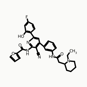 CCN1CCCCC1CC(=O)Nc1cccc(-c2cc(-c3ccc(F)cc3O)nc(NC(=O)c3ccco3)c2C#N)c1